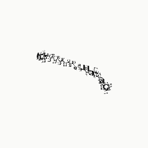 CCC(COCCCCCCCCCCCCCCCCn1ccnc1)OCc1ccccc1